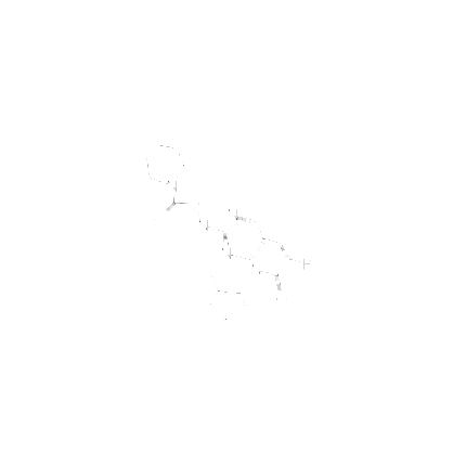 CC1CCCC1n1c(=O)c(Br)cc2cnc(NOC(=O)N3CCCCC3)nc21